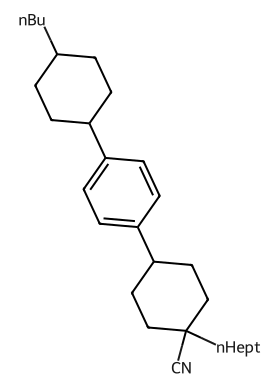 CCCCCCCC1(C#N)CCC(c2ccc(C3CCC(CCCC)CC3)cc2)CC1